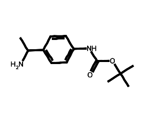 CC(N)c1ccc(NC(=O)OC(C)(C)C)cc1